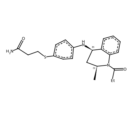 CCC(=O)N1c2ccccc2[C@H](Nc2ccc(SCCC(N)=O)cc2)C[C@@H]1C